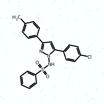 Cc1ccc(-c2cc(-c3ccc(Cl)cc3)n(NS(=O)(=O)c3ccccc3)n2)cc1